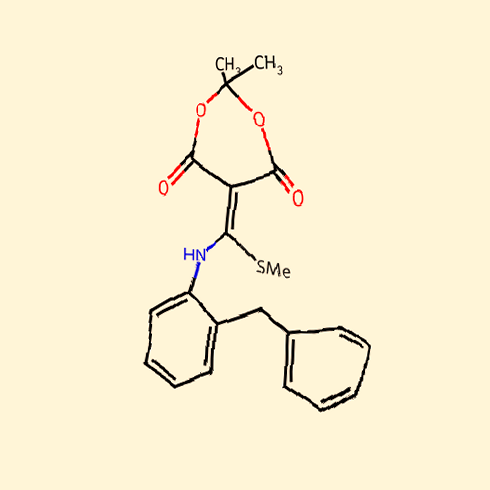 CSC(Nc1ccccc1Cc1ccccc1)=C1C(=O)OC(C)(C)OC1=O